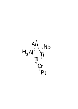 [AlH3].[Cr].[Nb].[Pt].[Ti].[Ti][Au]